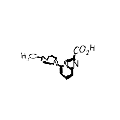 CN1CCN(c2cccc3nc(C(=O)O)cn23)CC1